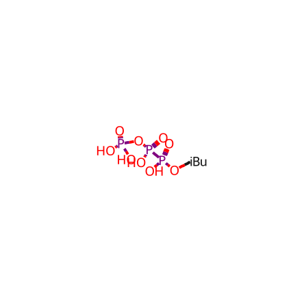 CCC(C)OP(=O)(O)P(=O)(O)OP(=O)(O)O